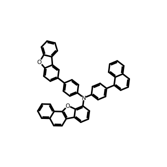 c1ccc2c(-c3ccc(N(c4ccc(-c5ccc6oc7ccccc7c6c5)cc4)c4cccc5c4oc4c6ccccc6ccc54)cc3)cccc2c1